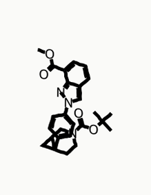 COC(=O)c1cccc2cn(-c3ccc(C45CCN(C(=O)OC(C)(C)C)CC4C5)cc3)nc12